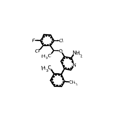 Cc1cccc(C)c1-c1cnc(N)c(OC(C)c2c(Cl)ccc(F)c2Cl)c1